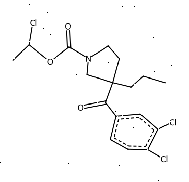 CCCC1(C(=O)c2ccc(Cl)c(Cl)c2)CCN(C(=O)OC(C)Cl)C1